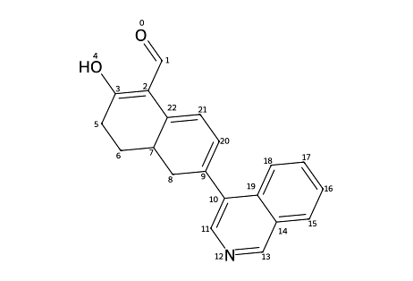 O=CC1=C(O)CCC2CC(c3cncc4ccccc34)=CC=C12